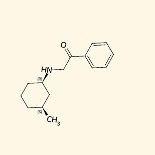 C[C@H]1CCC[C@@H](NCC(=O)c2ccccc2)C1